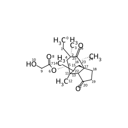 CC[C@]1(C)C[C@@H](OC(=O)CO)C2(C)C(C)CC[C@]3(CCC(=O)C23)[C@@H](C)C1=O